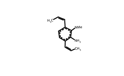 C/C=C\c1ccc(/C=C\C)c(NC)c1N